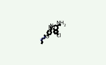 C=C/C=C\C=C(/C)OC1CCN(c2nnc3n2-c2ccc(Cl)cc2CC(C(=C)N)C3)CC1